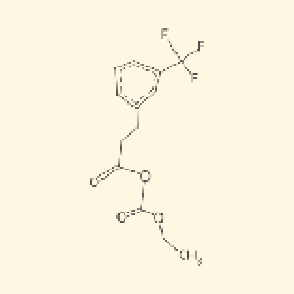 CCOC(=O)OC(=O)CCc1cccc(C(F)(F)F)c1